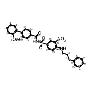 COc1ccccc1-c1ccc(C(=O)NS(=O)(=O)c2ccc(NCCSc3ccccc3)c([N+](=O)[O-])c2)cc1